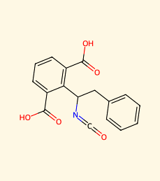 O=C=NC(Cc1ccccc1)c1c(C(=O)O)cccc1C(=O)O